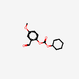 COc1ccc(OC(=O)OC2CCCCC2)c(C=O)c1